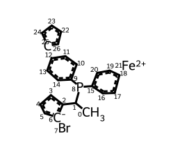 CC(c1ccc[c-]1Br)P(c1ccccc1)c1ccccc1.[Fe+2].c1cc[cH-]c1